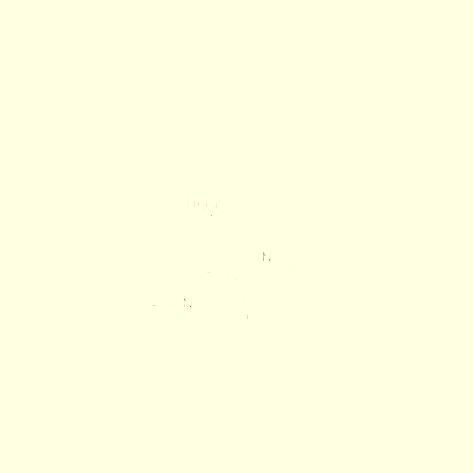 CN1CCC(N2CCCCC2C(=O)O)C1